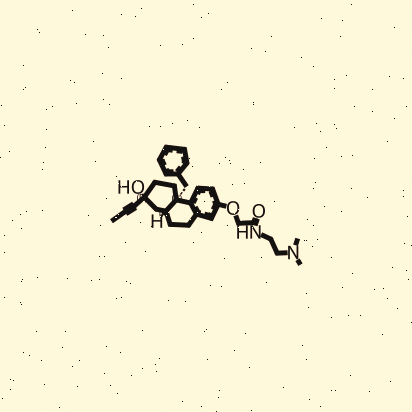 CC#C[C@@]1(O)CC[C@@]2(Cc3ccccc3)c3ccc(OCC(=O)NCCN(C)C)cc3CC[C@@H]2C1